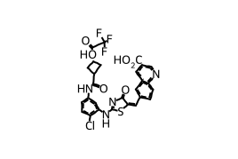 O=C(O)C(F)(F)F.O=C1N=C(Nc2cc(NC(=O)C3CCC3)ccc2Cl)SC1=Cc1ccc2ncc(C(=O)O)cc2c1